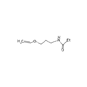 C=COCCCNC(=O)CC